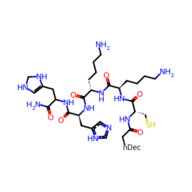 CCCCCCCCCCCC(=O)N[C@@H](CS)C(=O)N[C@H](CCCCN)C(=O)N[C@@H](CCCCN)C(=O)N[C@@H](Cc1cnc[nH]1)C(=O)NC(CC1=CNCN1)C(N)=O